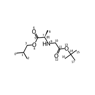 CC(C)COC(=O)[C@@H](C)NCC(=O)OC(C)(C)C